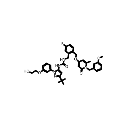 COc1cccc(Cn2c(C)cc(OCc3ccc(F)cc3CNC(=O)Nc3cc(C(C)(C)C)nn3-c3cccc(OCCO)c3)cc2=O)c1